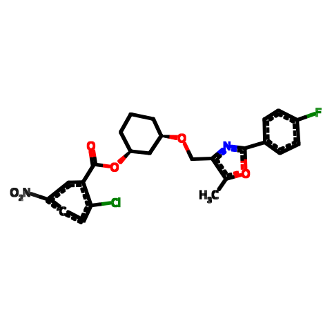 Cc1oc(-c2ccc(F)cc2)nc1CO[C@@H]1CCC[C@H](OC(=O)c2cc([N+](=O)[O-])ccc2Cl)C1